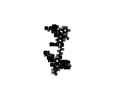 C=CCOC(=O)Nc1cc(OCCCCCOc2cc(N)c(C(=O)N3Cc4ccccc4C[C@H]3CO[Si](C)(C)C(C)(C)C)cc2OC)c(OC)cc1C(=O)N1CC2(CC2)C[C@H]1CO[Si](C)(C)C(C)(C)C